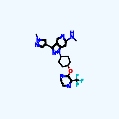 CNc1cc2c(cn1)c(-c1cnn(C)c1)nn2[C@H]1CC[C@@H](Oc2nccnc2C(F)(F)F)CC1